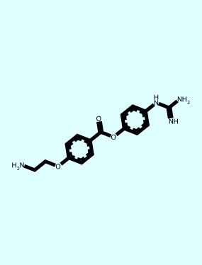 N=C(N)Nc1ccc(OC(=O)c2ccc(OCCN)cc2)cc1